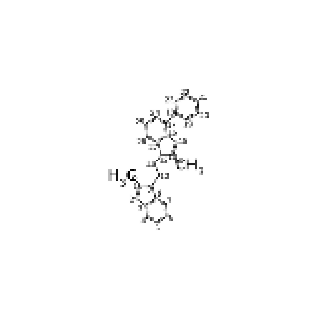 CC1=Cc2ccccc2C1CCC1C(C)=Cc2c(-c3ccccc3)cccc21